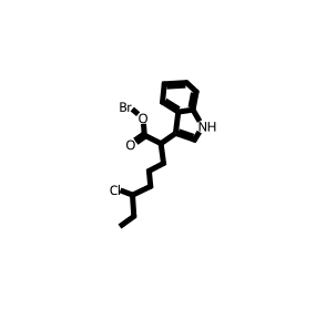 CCC(Cl)CCCC(C(=O)OBr)c1c[nH]c2ccccc12